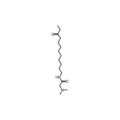 CCC(=O)CCCCCCCCCNC(=O)CN(C)C